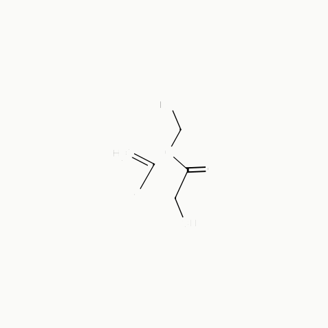 C=CC.CCOC(=O)CO